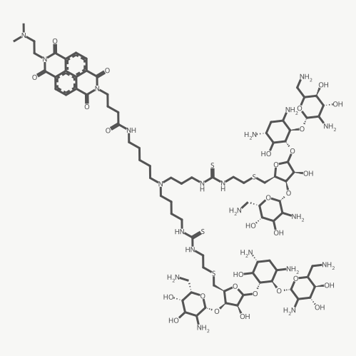 CN(C)CCN1C(=O)c2ccc3c4c(ccc(c24)C1=O)C(=O)N(CCCC(=O)NCCCCCN(CCCCNC(=S)NCCSC[C@H]1OC(O[C@@H]2C(O)[C@H](N)CC(N)[C@H]2O[C@@H]2OC(CN)[C@@H](O)[C@H](O)C2N)[C@@H](O)[C@H]1O[C@H]1O[C@@H](CN)[C@@H](O)C(O)C1N)CCCNC(=S)NCCSC[C@H]1OC(O[C@@H]2C(O)[C@H](N)CC(N)[C@H]2O[C@@H]2OC(CN)[C@@H](O)[C@H](O)C2N)[C@@H](O)[C@H]1O[C@H]1O[C@@H](CN)[C@@H](O)C(O)C1N)C3=O